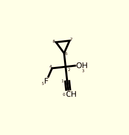 C#CC(O)(CF)C1CC1